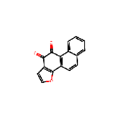 O=C1C(=O)c2c(ccc3ccccc23)-c2occc21